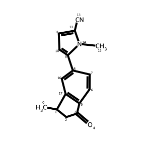 CC1CC(=O)c2ccc(-c3ccc(C#N)n3C)cc21